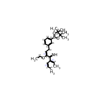 C/C=C\C(=C/C)C(=N)/C(=C\Cc1cccc(B2OC(C)(C)C(C)(C)O2)c1)OCC